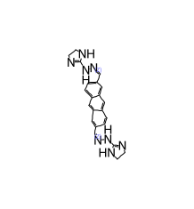 C(=N/NC1=NCCN1)/c1ccc2cc3cc(/C=N\NC4=NCCN4)ccc3cc2c1